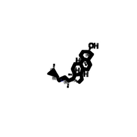 C[C@H](/C=C/[C@H]1C[C@@H]1C)[C@H]1CC[C@H]2[C@@H]3CC=C4C[C@@H](O)CC[C@]4(C)[C@H]3CC[C@]12C